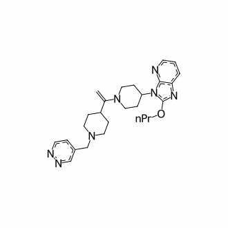 C=C(C1CCN(Cc2ccnnc2)CC1)N1CCC(n2c(OCCC)nc3cccnc32)CC1